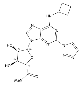 CNC(=O)[C@H]1O[C@@H](n2cnc3c(NC4CCC4)nc(-n4ccnn4)nc32)[C@H](O)[C@@H]1O